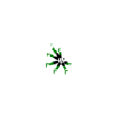 [F][W]([F])([F])([F])([F])([F])[F]